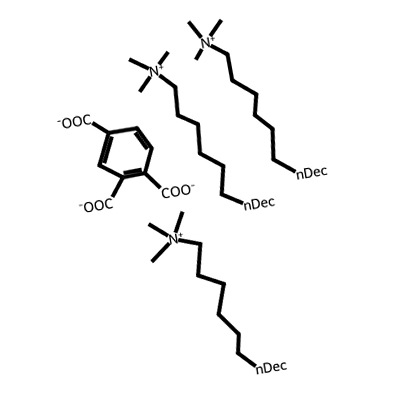 CCCCCCCCCCCCCCCC[N+](C)(C)C.CCCCCCCCCCCCCCCC[N+](C)(C)C.CCCCCCCCCCCCCCCC[N+](C)(C)C.O=C([O-])c1ccc(C(=O)[O-])c(C(=O)[O-])c1